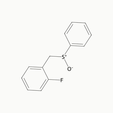 [O-][S+](Cc1ccccc1F)c1ccccc1